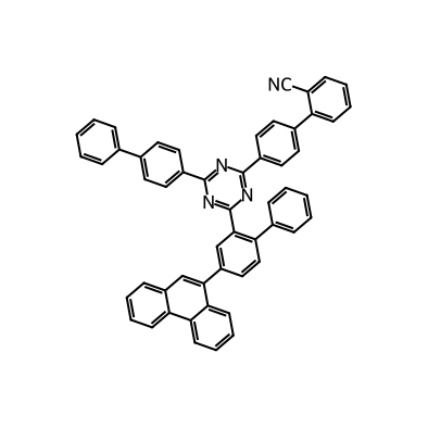 N#Cc1ccccc1-c1ccc(-c2nc(-c3ccc(-c4ccccc4)cc3)nc(-c3cc(-c4cc5ccccc5c5ccccc45)ccc3-c3ccccc3)n2)cc1